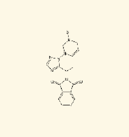 CC(c1ncnn1N1C=CCN(Br)C1)N1C(=O)c2ccccc2C1=O